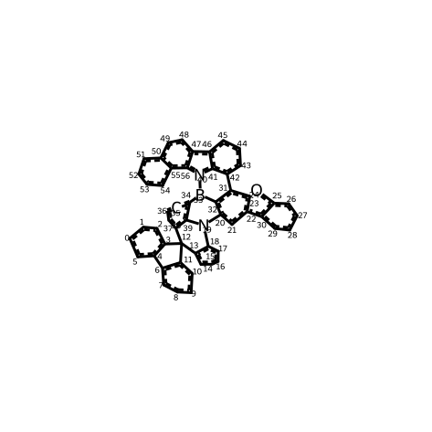 c1ccc2c(c1)-c1ccccc1C21c2ccccc2N2c3cc4c(oc5ccccc54)c4c3B(c3cccc1c32)n1c2c-4cccc2c2ccc3ccccc3c21